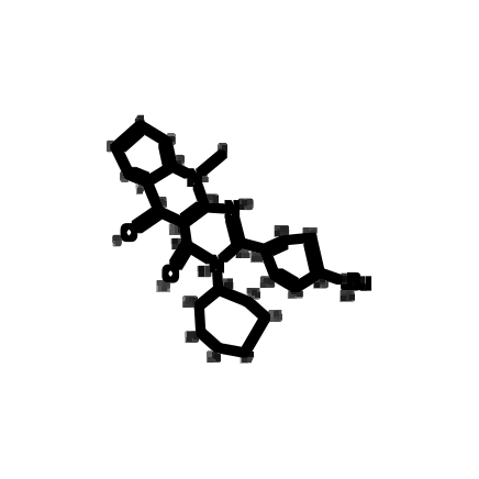 Cn1c2ccccc2c(=O)c2c(=O)n(C3CCCCCC3)c(-c3ccc(C(C)(C)C)cc3)nc21